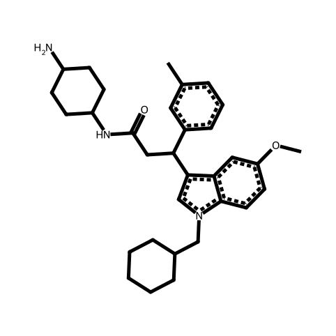 COc1ccc2c(c1)c(C(CC(=O)NC1CCC(N)CC1)c1cccc(C)c1)cn2CC1CCCCC1